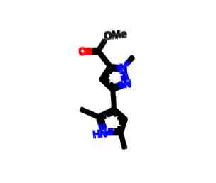 COC(=O)c1cc(-c2cc(C)[nH]c2C)nn1C